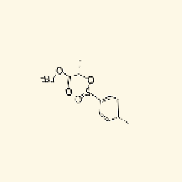 Cc1ccc(S(=O)O[C@@H](C)C(=O)OC(C)(C)C)cc1